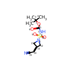 CC(C)(C)OC(=O)NS(=O)(=O)N1CC(=CC#N)C1